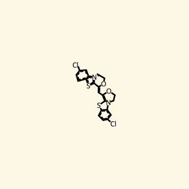 Clc1ccc2c(c1)N1CCOC(C=C3OCC[n+]4c3sc3ccc(Cl)cc34)=C1S2